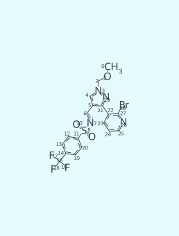 COCn1cc(/C=N/S(=O)(=O)c2ccc(C(F)(F)F)cc2)c(-c2cccnc2Br)n1